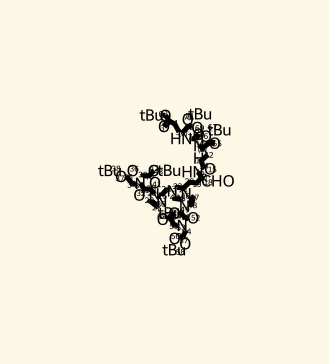 CC(C)(C)OC(=O)CC[C@H](NC(=O)N[C@@H](CCC(=O)N[C@H](C=O)CCCCN(Cc1nccn1CC(=O)N(CC(=O)OC(C)(C)C)CC(=O)OC(C)(C)C)Cc1nccn1CC(=O)N(CC(=O)OC(C)(C)C)CC(=O)OC(C)(C)C)C(=O)OC(C)(C)C)C(=O)OC(C)(C)C